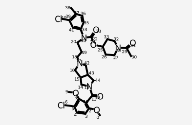 COc1ccc(Cl)c(OC)c1C(=O)N1CC2CN(CCCN(C(=O)OC3CCN(C(C)=O)CC3)c3ccc(C)c(Cl)c3)CC2C1